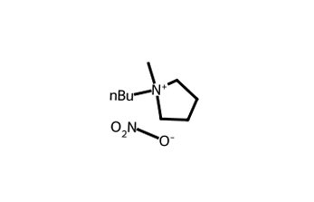 CCCC[N+]1(C)CCCC1.O=[N+]([O-])[O-]